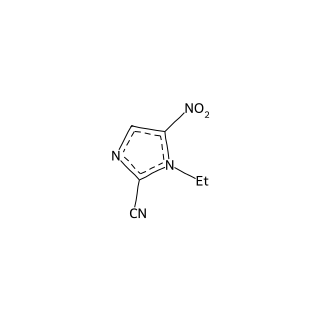 CCn1c([N+](=O)[O-])cnc1C#N